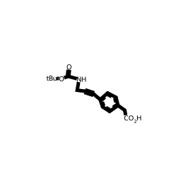 CC(C)(C)OC(=O)NCC#Cc1ccc(CC(=O)O)cc1